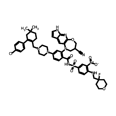 CC1(C)CCC(CN2CCN(c3ccc(C(=O)NS(=O)(=O)c4ccc(NCC5(F)CCOCC5)c([N+](=O)[O-])c4)c(N4CC(C#N)COc5nc6[nH]ccc6cc54)c3)CC2)=C(c2ccc(Cl)cc2)C1